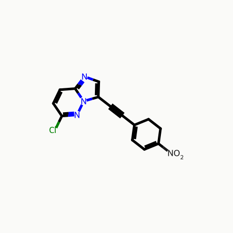 O=[N+]([O-])C1=CC=C(C#Cc2cnc3ccc(Cl)nn23)CC1